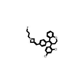 FCCCN1CC(=Cc2ccc(C3=C(c4ccc(Cl)cc4Cl)CCOc4ccccc43)cc2)C1